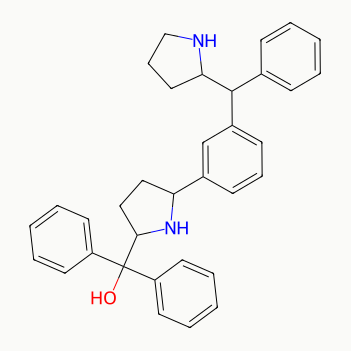 OC(c1ccccc1)(c1ccccc1)C1CCC(c2cccc(C(c3ccccc3)C3CCCN3)c2)N1